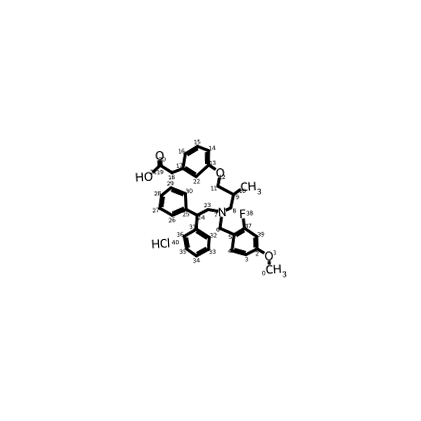 COc1ccc(CN(CC(C)COc2cccc(CC(=O)O)c2)CC(c2ccccc2)c2ccccc2)c(F)c1.Cl